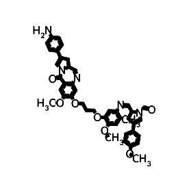 COc1ccc(C2=CN(C=O)C(/C=N\c3cc(OCCCOc4cc5c(cc4OC)C(=O)N4C=C(c6ccc(N)cc6)CC4C=N5)c(OC)cc3C)C2)cc1